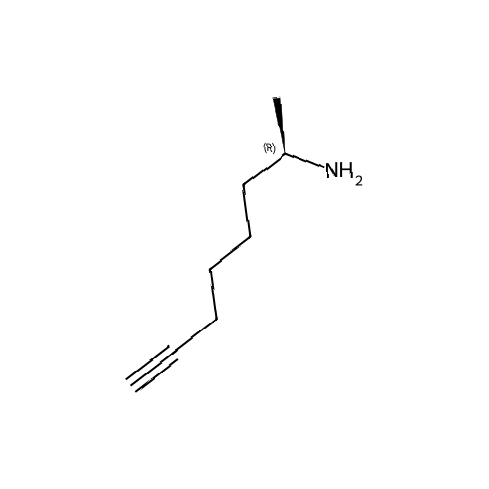 C#CCCCC[C@@H](C)N